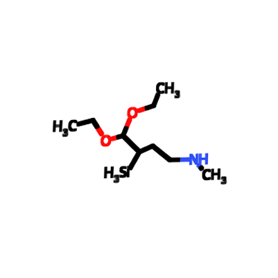 CCOC(OCC)C([SiH3])CCNC